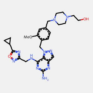 COc1cc(CN2CCN(CCO)CC2)ccc1Cn1ncc2nc(N)nc(NCc3noc(C4CC4)n3)c21